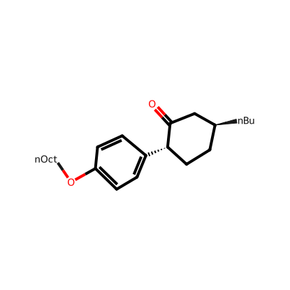 CCCCCCCCOc1ccc([C@H]2CC[C@H](CCCC)CC2=O)cc1